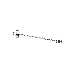 OCCCCCCCCCCCCCCCCCCCCCCCCCCCCCCCCC[SiH](Cl)Cl